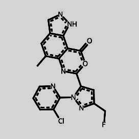 Cc1cc2cn[nH]c2c2c(=O)oc(-c3cc(CF)nn3-c3ncccc3Cl)nc12